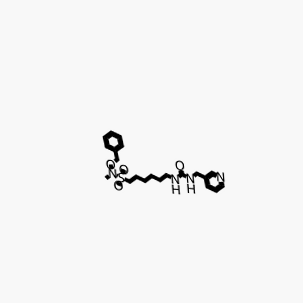 CN(OCc1ccccc1)S(=O)(=O)CCCCCCNC(=O)NCc1cccnc1